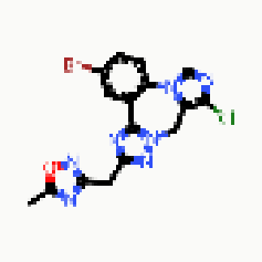 Cc1nc(Cc2nc3n(n2)Cc2c(Cl)ncn2-c2ccc(Br)cc2-3)no1